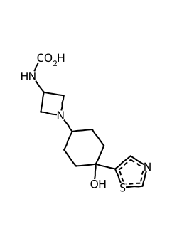 O=C(O)NC1CN(C2CCC(O)(c3cncs3)CC2)C1